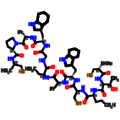 CC(=O)N[C@@H](CS)C(=O)N[C@H](C(=O)N[C@@H](CCC(=O)O)C(=O)N[C@@H](CS)C(=O)N[C@@H](Cc1c[nH]c2ccccc12)C(=O)N[C@H](C(=O)N[C@@H](CC(=O)O)C(=O)NCC(=O)N[C@@H](Cc1c[nH]c2ccccc12)C(=O)N[C@H](C(=O)N1CCC[C@H]1C(=O)N[C@@H](CS)C(=O)O)C(C)C)C(C)C)[C@@H](C)O